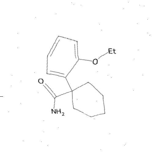 CCOc1ccccc1C1(C(N)=O)CCCCC1